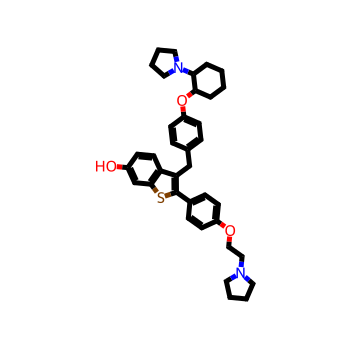 Oc1ccc2c(Cc3ccc(OC4CCCCC4N4CCCC4)cc3)c(-c3ccc(OCCN4CCCC4)cc3)sc2c1